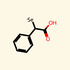 O=C(O)C([Se])c1ccccc1